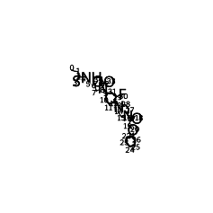 CCC(=S)NC[C@H]1CN(c2ccc(N3CCN(C(=O)COc4ccccc4)CC3)c(F)c2)C(=O)O1